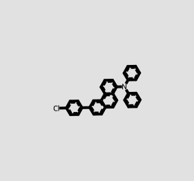 Clc1ccc(-c2ccc3ccc4c(N(c5ccccc5)c5ccccc5)cccc4c3c2)cc1